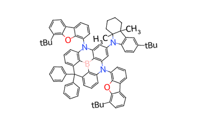 CC(C)(C)c1ccc2c(c1)C1(C)CCCCC1(C)N2c1cc2c3c(c1)N(c1cccc4c1oc1c(C(C)(C)C)cccc14)c1cccc4c1B3c1c(cccc1C4(c1ccccc1)c1ccccc1)N2c1cccc2c1oc1c(C(C)(C)C)cccc12